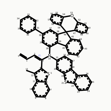 C=C/C=C(\c1sc2ccccc2c1C)N(c1ccc2c(c1)sc1ccccc12)c1cc(-c2ccccc2)cc2c1-c1ccccc1C21c2ccccc2Oc2ccccc21